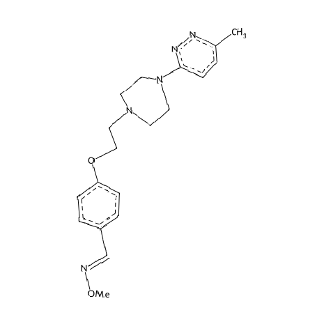 CON=Cc1ccc(OCCN2CCN(c3ccc(C)nn3)CC2)cc1